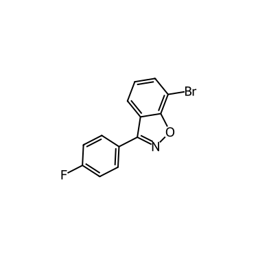 Fc1ccc(-c2noc3c(Br)cccc23)cc1